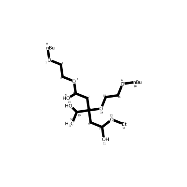 CCCCOCCOC(O)CC(CC(O)OCC)(OCCOCCCC)C(C)O